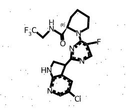 O=C(NCC(F)(F)F)[C@H]1CCCCN1c1nc(C2CNc3ncc(Cl)cc32)ncc1F